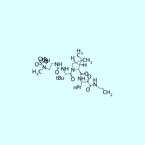 C=CCNC(=O)C(=O)C(CCC)NC(=O)[C@@H]1[C@@H]2[C@H](CN1C(=O)[C@@H](NC(=O)N[C@H](CN(C)S(C)(=O)=O)C(C)(C)C)C(C)(C)C)C2(C)C